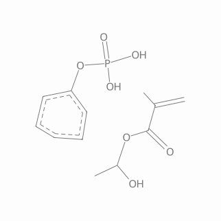 C=C(C)C(=O)OC(C)O.O=P(O)(O)Oc1ccccc1